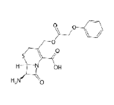 N[C@@H]1C(=O)N2C(C(=O)O)=C(COC(=O)COc3ccccc3)CS[C@H]12